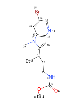 CCC(CCNC(=O)OC(C)(C)C)c1cc2ncc(Br)cc2n1C